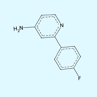 Nc1ccnc(-c2ccc(F)cc2)c1